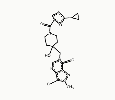 Cn1nc2c(=O)n(CC3(O)CCN(C(=O)c4cnc(C5CC5)o4)CC3)cnc2c1Br